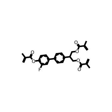 C=C(C)C(=O)OCC(COC(=O)C(=C)C)c1ccc(-c2ccc(OC(=O)C(=C)C)c(F)c2)cc1